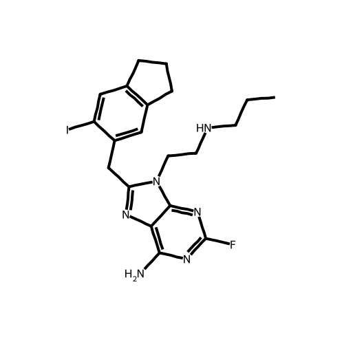 CCCNCCn1c(Cc2cc3c(cc2I)CCC3)nc2c(N)nc(F)nc21